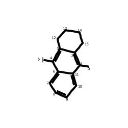 Cc1c2c(c(I)c3ccccc13)CCCC2